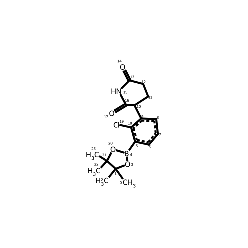 CC1(C)OB(c2cccc(C3CCC(=O)NC3=O)c2Cl)OC1(C)C